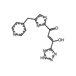 O=C(C=C(O)c1nn[nH]n1)c1nc(Cc2ccncc2)cs1